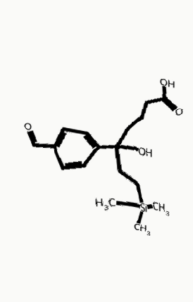 C[Si](C)(C)CCC(O)(CCCC(=O)O)c1ccc(C=O)cc1